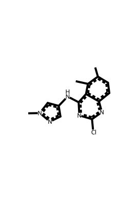 Cc1ccc2nc(Cl)nc(Nc3cnn(C)c3)c2c1C